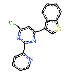 Clc1cc(-c2csc3ccccc23)nc(-c2ccccn2)n1